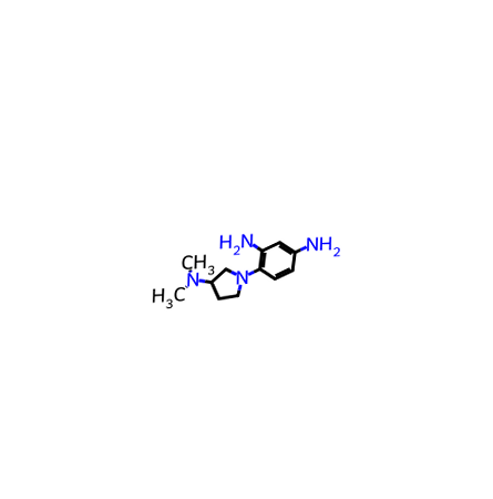 CN(C)C1CCN(c2ccc(N)cc2N)C1